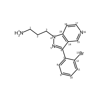 NCCCn1nc(-c2ccccc2Br)c2cnccc21